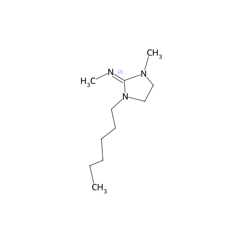 CCCCCCN1CCN(C)/C1=N/C